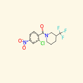 O=C(c1ccc([N+](=O)[O-])cc1Cl)N1CCCC(C(F)(F)F)C1